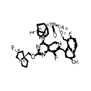 CCc1c(F)ccc2cc(O)cc(-c3ncc4c(N5C[C@H]6CC[C@@](C(=O)NC)(C5)C6(F)F)nc(OC[C@@]56CCCN5C[C@H](F)C6)nc4c3F)c12